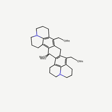 COCc1c(Cc2c(COC)c3c4c(c2COC)CCCN4CCC3)c(COC)c2c3c1CCCN3CCC2